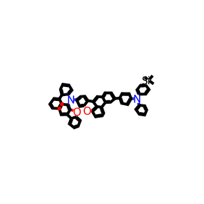 C[Si](C)(C)c1ccc(N(c2ccccc2)c2ccc(-c3ccc4cc5c6c(cccc6c4c3)Oc3cc(N(c4ccccc4-c4ccccc4)c4cccc6c4oc4ccccc46)ccc3-5)cc2)cc1